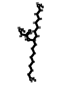 CCCCCCCCCC(CCCCCCCC)OC(=O)CC